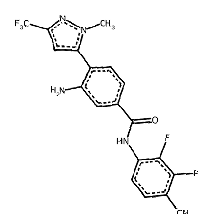 Cc1ccc(NC(=O)c2ccc(-c3cc(C(F)(F)F)nn3C)c(N)c2)c(F)c1F